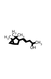 CC(O)C/C=C/C1CC2CC2(C)C1(C)C